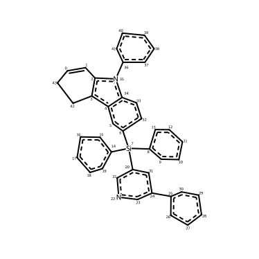 C1=Cc2c(c3cc([Si](c4ccccc4)(c4ccccc4)c4cncc(-c5ccccc5)c4)ccc3n2-c2ccccc2)CC1